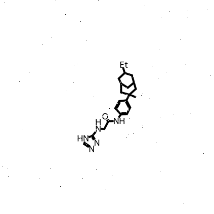 CCC1CC2CC(C1)CC(C)(c1ccc(NC(=O)CNc3nnc[nH]3)cc1)C2